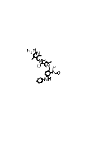 Cc1cc(N)nc(C)c1CNC(=O)c1cc(C)n(Cc2ccc(Nc3ccccc3)cc2NC=O)c1